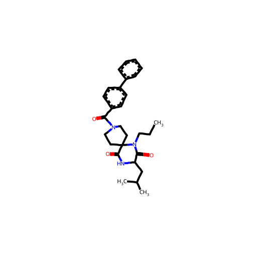 CCCN1C(=O)C(CC(C)C)NC(=O)C12CCN(C(=O)c1ccc(-c3ccccc3)cc1)CC2